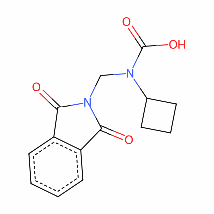 O=C1c2ccccc2C(=O)N1CN(C(=O)O)C1CCC1